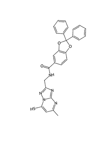 Cc1cc(S)n2nc(CNC(=O)c3ccc4c(c3)OC(c3ccccc3)(c3ccccc3)O4)nc2n1